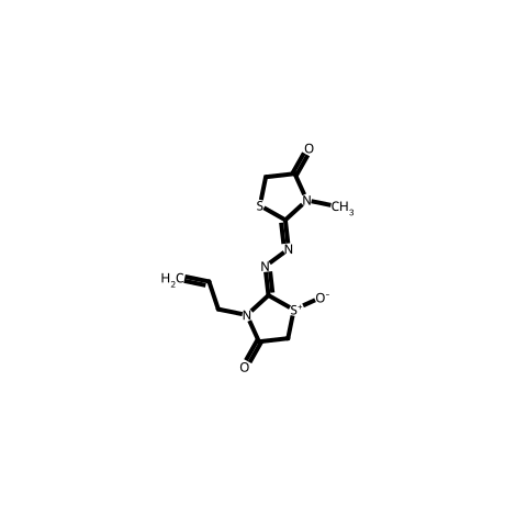 C=CCN1C(=O)C[S+]([O-])C1=NN=C1SCC(=O)N1C